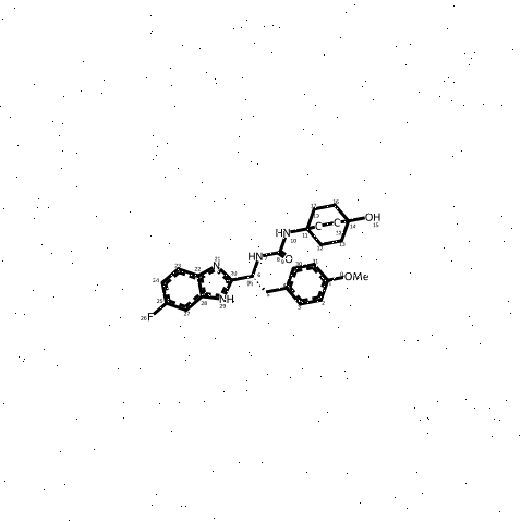 COc1ccc(C[C@@H](NC(=O)NC23CCC(O)(CC2)CC3)c2nc3ccc(F)cc3[nH]2)cc1